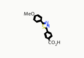 COc1ccc(-c2nnc(-c3ccc(C(=O)O)cc3)s2)cc1